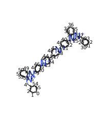 c1ccc(C[n+]2cn(-c3ccc(-[n+]4ccc(-c5cc[n+](-c6ccc(-n7c[n+](Cc8ccccc8)c8ccccc87)cc6)cc5)cc4)cc3)c3ccccc32)cc1